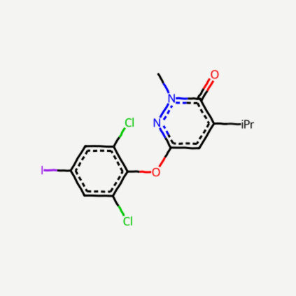 CC(C)c1cc(Oc2c(Cl)cc(I)cc2Cl)nn(C)c1=O